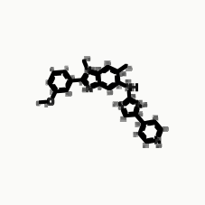 COc1cccc(-c2nc3cc(Nc4nc(-c5ccncc5)cs4)c(C)cc3n2C)c1